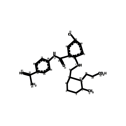 CC1CCCC(CNc2ccc(Cl)cc2C(=O)Nc2ccc(C(=N)N)cc2)N1CCC(=O)O